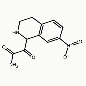 NC(=O)C(=O)C1NCCc2ccc([N+](=O)[O-])cc21